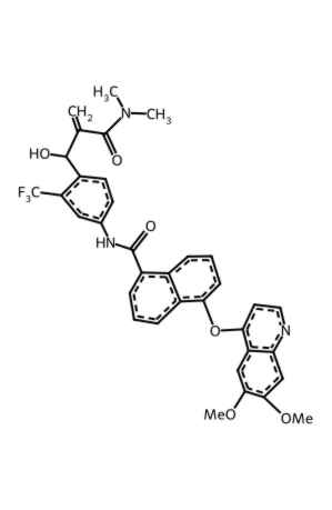 C=C(C(=O)N(C)C)C(O)c1ccc(NC(=O)c2cccc3c(Oc4ccnc5cc(OC)c(OC)cc45)cccc23)cc1C(F)(F)F